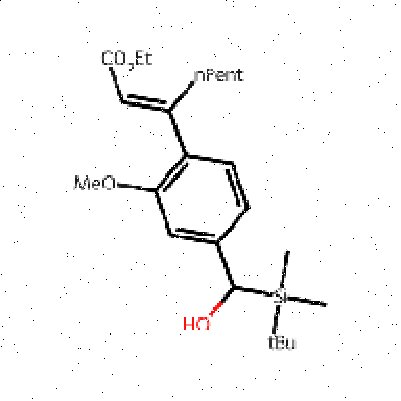 CCCCCC(=CC(=O)OCC)c1ccc(C(O)[Si](C)(C)C(C)(C)C)cc1OC